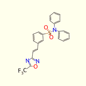 O=S(=O)(c1cccc(C=Cc2noc(C(F)(F)F)n2)c1)N(c1ccccc1)c1ccccc1